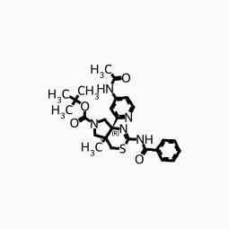 CC(=O)Nc1ccnc([C@]23CN(C(=O)OC(C)(C)C)C[C@@]2(C)CSC(NC(=O)c2ccccc2)=N3)c1